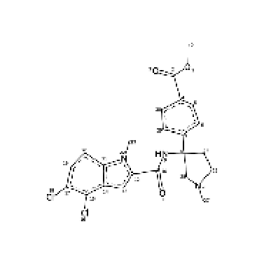 COC(=O)c1ccc(C2(NC(=O)c3cc4c(Cl)c(Cl)ccc4n3C)CCN(C)C2)cc1